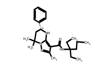 CCCC(CC)(CC)NC(=O)c1c(C)nn2c1N[C@@H](c1ccccc1)CC2(C)C